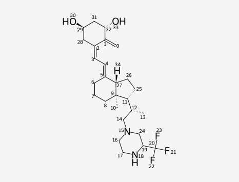 C=C1/C(=C\C=C2/CCC[C@]3(C)[C@@H]([C@H](C)CN4CCNC(C(F)(F)F)C4)CC[C@@H]23)C[C@@H](O)C[C@@H]1O